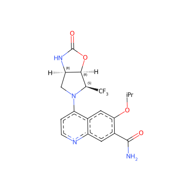 CC(C)Oc1cc2c(N3C[C@H]4NC(=O)O[C@H]4[C@H]3C(F)(F)F)ccnc2cc1C(N)=O